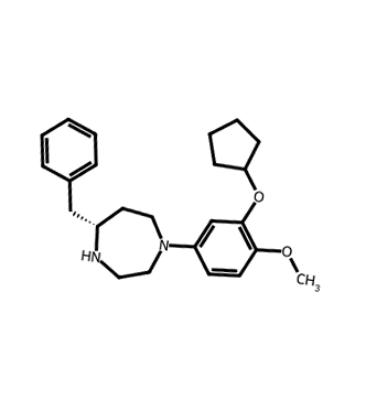 COc1ccc(N2CCN[C@H](Cc3ccccc3)CC2)cc1OC1CCCC1